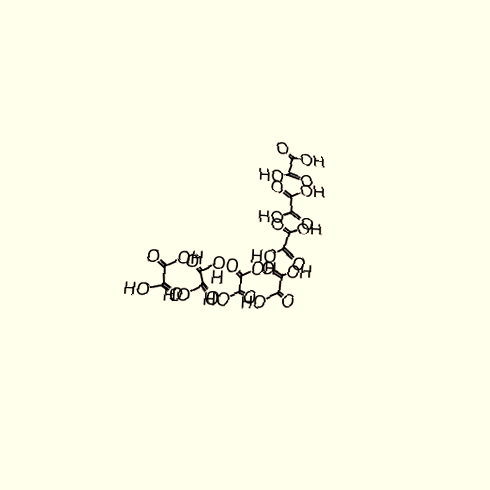 O=C(O)C(=O)O.O=C(O)C(=O)O.O=C(O)C(=O)O.O=C(O)C(=O)O.O=C(O)C(=O)O.O=C(O)C(=O)O.O=C(O)C(=O)O